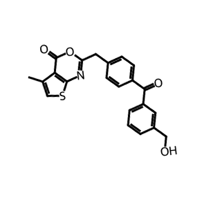 Cc1csc2nc(Cc3ccc(C(=O)c4cccc(CO)c4)cc3)oc(=O)c12